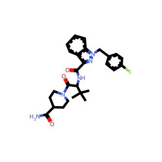 CC(C)(C)C(NC(=O)c1nn(Cc2ccc(F)cc2)c2ccccc12)C(=O)N1CCC(C(N)=O)CC1